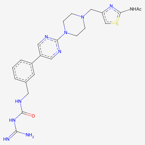 CC(=O)Nc1nc(CN2CCN(c3ncc(-c4cccc(CNC(=O)NC(=N)N)c4)cn3)CC2)cs1